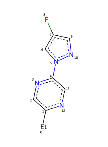 CCc1cnc(-n2cc(F)cn2)cn1